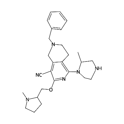 CC1CNCCN1c1nc(OCC2CCCN2C)c(C#N)c2c1CCN(Cc1ccccc1)C2